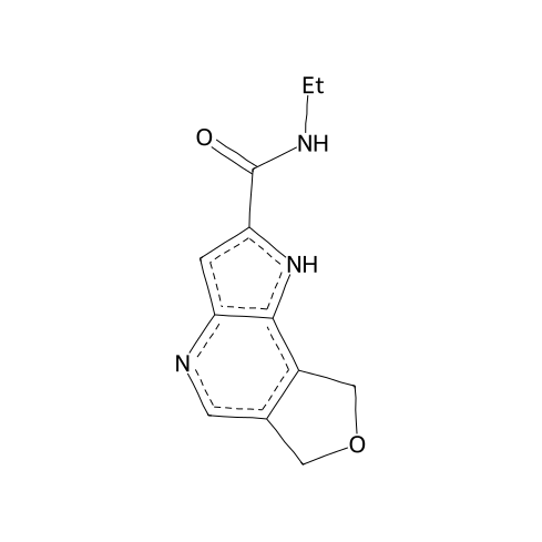 CCNC(=O)c1cc2ncc3c(c2[nH]1)COC3